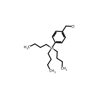 CCC[CH2][Sn]([CH2]CCC)([CH2]CCC)[c]1ccc(CCl)cc1